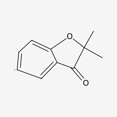 CC1(C)Oc2cc[c]cc2C1=O